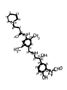 Cc1cc(NC(=O)CCN2CC[CH]CC2)c(C)cc1CNC[C@H](O)c1ccc(O)c(NC=O)c1